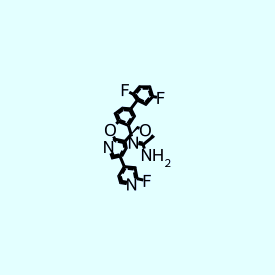 NC1=N[C@@]2(COC1)c1cc(-c3cc(F)ccc3F)ccc1Oc1ncc(-c3ccnc(F)c3)cc12